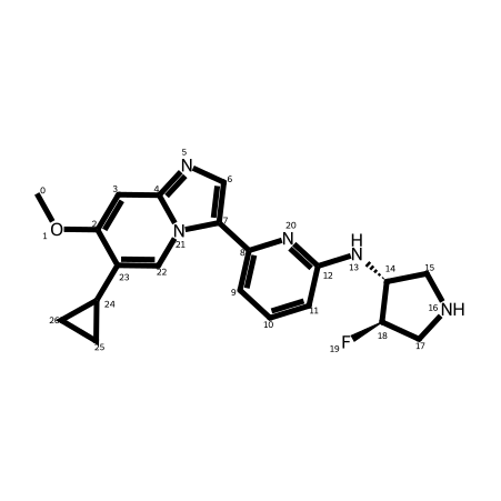 COc1cc2ncc(-c3cccc(N[C@@H]4CNC[C@H]4F)n3)n2cc1C1CC1